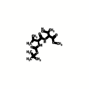 COC(=O)C(NC(=O)[C@@H](NC(=O)OC(C)(C)C)C(C)C)C(C)C